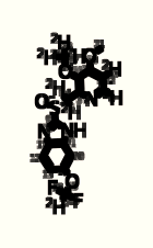 [2H]c1nc(C([2H])([2H])[S+]([O-])c2nc3ccc(OC([2H])(F)F)cc3[nH]2)c(OC([2H])([2H])[2H])c(OC)c1[2H]